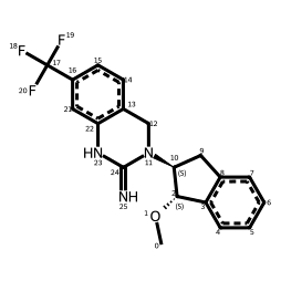 CO[C@H]1c2ccccc2C[C@@H]1N1Cc2ccc(C(F)(F)F)cc2NC1=N